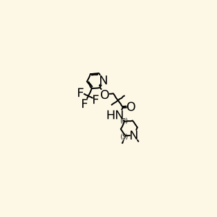 C[C@H]1C[C@H](NC(=O)C(C)(C)COc2ncccc2C(F)(F)F)CCN1C